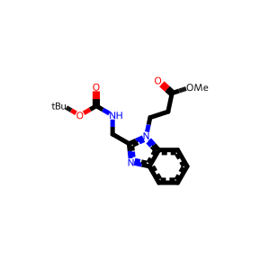 COC(=O)CCn1c(CNC(=O)OC(C)(C)C)nc2ccccc21